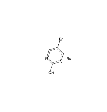 Oc1ncc(Br)cn1.[Ru]